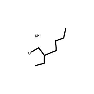 CCCCC(CC)C[O-].[Rb+]